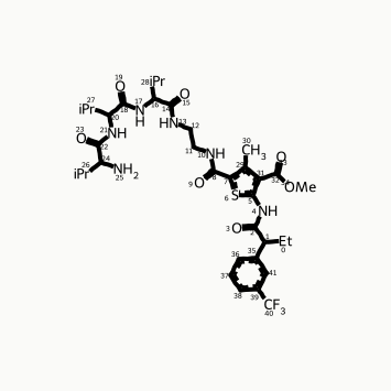 CCC(C(=O)Nc1sc(C(=O)NCCNC(=O)C(NC(=O)C(NC(=O)C(N)C(C)C)C(C)C)C(C)C)c(C)c1C(=O)OC)c1cccc(C(F)(F)F)c1